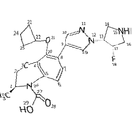 C[C@H]1CCc2c(ccc(-c3cnn([C@@H]4CNC[C@@H]4F)c3)c2OC2CCC2)N1C(=O)O